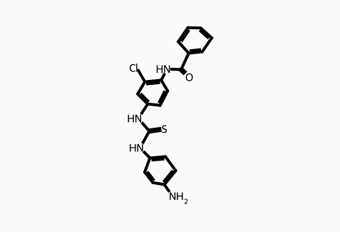 Nc1ccc(NC(=S)Nc2ccc(NC(=O)c3ccccc3)c(Cl)c2)cc1